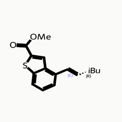 CC[C@@H](C)/C=C/c1cccc2sc(C(=O)OC)cc12